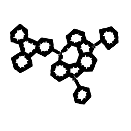 c1ccc(-n2c3ccc4c5c3c3c2cccc3n(-c2ccc3c6ccccc6c6ccccc6c3c2)c2cccc(c52)n4-c2ccccc2)cc1